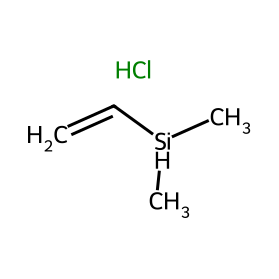 C=C[SiH](C)C.Cl